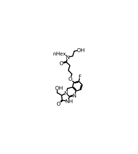 CCCCCCN(CCO)C(=O)CCCOc1c(F)ccc2c1CN1C(=N2)NC(=O)C1CO